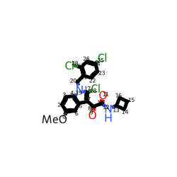 COc1ccc2c(c1)c(C(=O)C(=O)NC1CCC1)c(Cl)n2Cc1ccc(Cl)cc1Cl